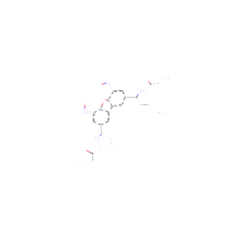 CCC(=O)O/N=C(\CC)c1cc([N+](=O)[O-])c2oc3c([N+](=O)[O-])cc(/C(CCOC)=N/OC(=O)CC)cc3c2c1